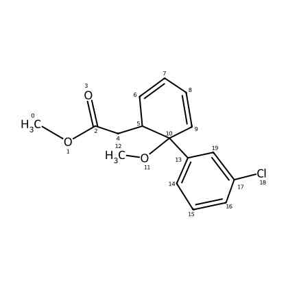 COC(=O)CC1C=CC=CC1(OC)c1cccc(Cl)c1